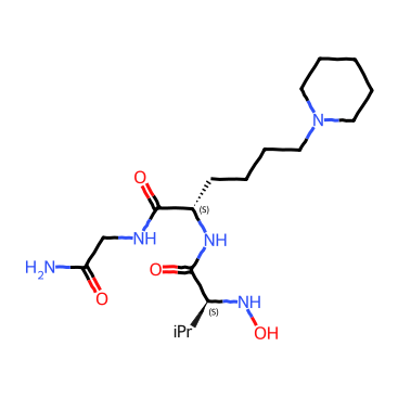 CC(C)[C@H](NO)C(=O)N[C@@H](CCCCN1CCCCC1)C(=O)NCC(N)=O